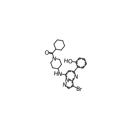 O=C(C1CCCCC1)N1CCC(Nc2cc(-c3ccccc3O)nc3c(Br)cnn23)CC1